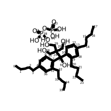 CCCCc1ccc(C(O)(c2ccc(CCCC)cc2CCCC)C(CO)(CO)CO)c(CCCC)c1.O=P(O)(O)OP(=O)(O)O